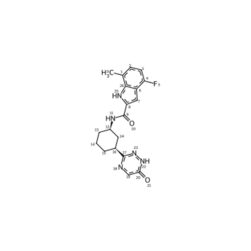 Cc1ccc(F)c2cc(C(=O)N[C@@H]3CCC[C@H](c4ncc(=O)[nH]n4)C3)[nH]c12